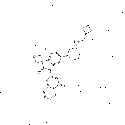 O=C(Nc1cc(=O)n2ccccc2n1)C1(c2ncc(N3CCC[C@@H](NCC4CCC4)C3)cc2F)COC1